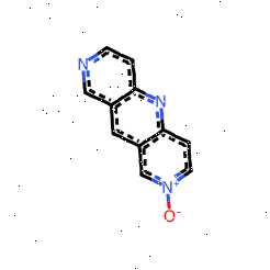 [O-][n+]1ccc2nc3ccncc3cc2c1